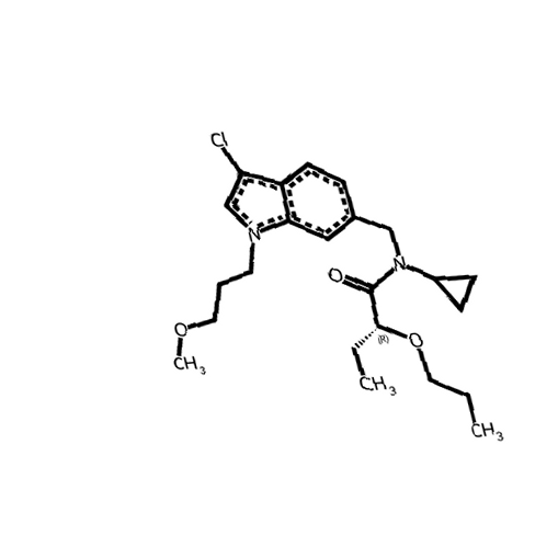 CCCO[C@H](CC)C(=O)N(Cc1ccc2c(Cl)cn(CCCOC)c2c1)C1CC1